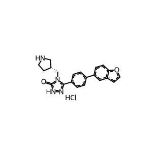 Cl.O=c1[nH]nc(-c2ccc(-c3ccc4occc4c3)cc2)n1C[C@@H]1CCNC1